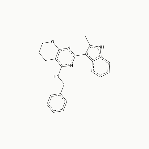 Cc1[nH]c2ccccc2c1-c1nc(NCc2ccccc2)c2c(n1)OCCC2